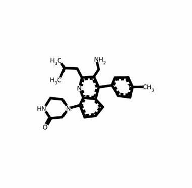 Cc1ccc(-c2c(CN)c(CC(C)C)nc3c(N4CCNC(=O)C4)cccc23)cc1